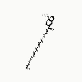 N=NN=NN=NN=NN=NN=NN=NN=NN=NC(=O)c1cnc2c(ccn2P)c1